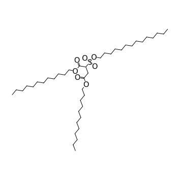 CCCCCCCCCCCCCCOS(=O)(=O)C(CC(=O)OCCCCCCCCCCCC)C(=O)OCCCCCCCCCCCC